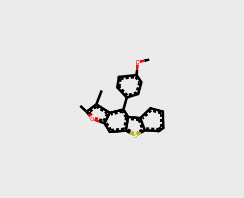 COc1ccc(-c2c3c(C)c(C)oc3cc3sc4ccccc4c23)cc1